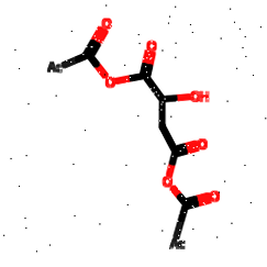 CC(=O)C(=O)OC(=O)CC(O)C(=O)OC(=O)C(C)=O